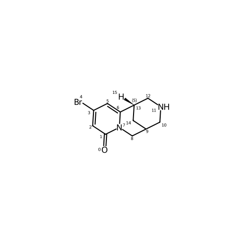 O=c1cc(Br)cc2n1CC1CNC[C@@H]2C1